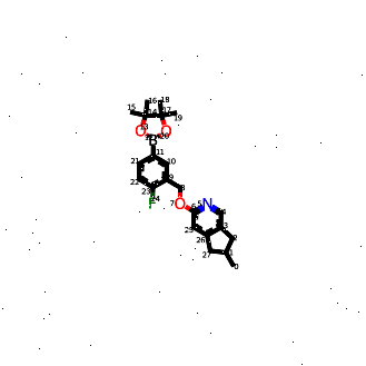 CC1Cc2cnc(OCc3cc(B4OC(C)(C)C(C)(C)O4)ccc3F)cc2C1